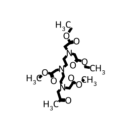 CCOC(=O)CN(CCN(CCN(CC(C)=O)CC(=O)OC)CC(=O)OC)CC(=O)OCC